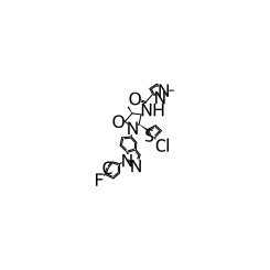 C[C@@H]1C(=O)N(c2ccc3c(cnn3-c3ccc(F)cc3)c2)[C@H](c2ccc(Cl)s2)C1NC(=O)c1ccn(C)n1